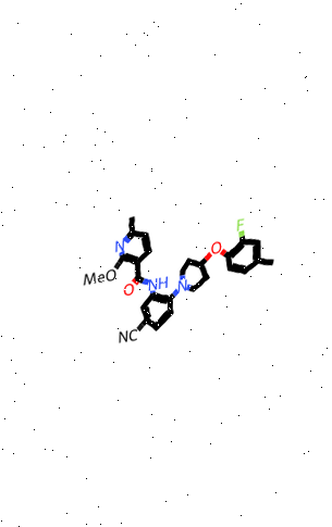 COc1nc(C)ccc1C(=O)Nc1cc(C#N)ccc1N1CCC(Oc2ccc(C)cc2F)CC1